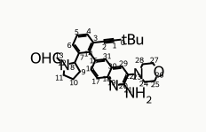 CC(C)(C)C#Cc1cccc(C2CCCN2C=O)c1-c1ccc2nc(N)c(N3CCOCC3)cc2c1